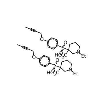 CC#CCOc1ccc(S(=O)(=O)C2(C(=O)O)CCCN(CC)C2)cc1.CC#CCOc1ccc(S(=O)(=O)C2(C(=O)O)CCCN(CC)C2)cc1